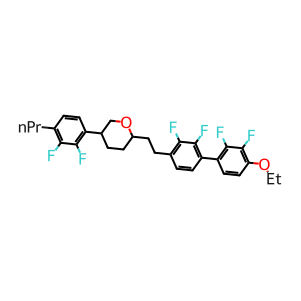 CCCc1ccc(C2CCC(CCc3ccc(-c4ccc(OCC)c(F)c4F)c(F)c3F)OC2)c(F)c1F